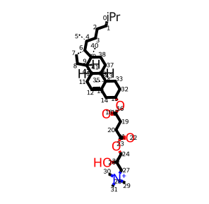 CC(C)CCC[C@@H](C)[C@H]1CC[C@H]2[C@@H]3CC=C4CC(OC(=O)CCC(=O)OCC(O)C[N+](C)(C)C)CC[C@]4(C)[C@H]3CC[C@]12C